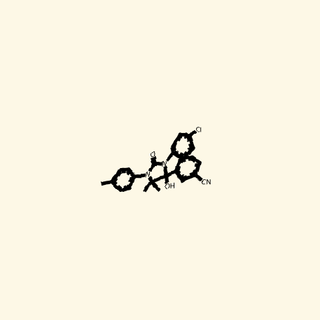 Cc1ccc(N2C(=O)N(c3ccc(Cl)cc3)C(O)(c3cccc(C#N)c3)C2(C)C)cc1